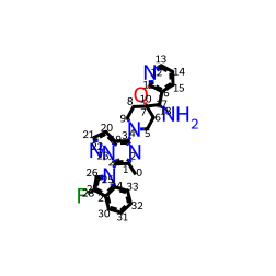 Cc1nc(N2CCC3(CC2)Oc2ncccc2[C@H]3N)c2ccnn2c1-n1cc(F)c2ccccc21